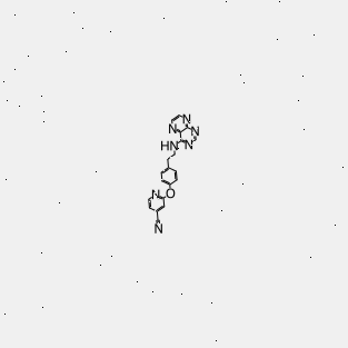 N#Cc1ccnc(Oc2ccc(CCNc3ncnc4nccnc34)cc2)c1